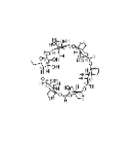 OC1[C@@H]2OC(CI)[C@@H](O[C@H]3OC(CI)[C@@H](O[C@H]4OC(CI)[C@@H](O[C@H]5OC(CI)[C@@H](O[C@H]6OC(CI)[C@@H](O[C@H]7OC(CI)[C@@H](O2)[C@H](O)C7O)[C@H](O)C6O)[C@H](O)C5O)[C@H](O)C4O)[C@H](O)C3O)[C@@H]1O